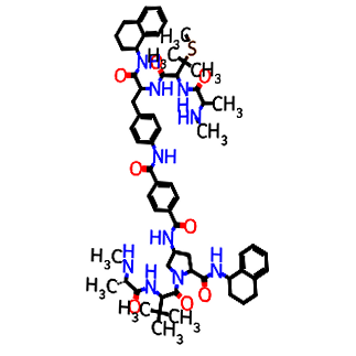 CNC(C)C(=O)NC(C(=O)NC(Cc1ccc(NC(=O)c2ccc(C(=O)NC3CC(C(=O)NC4CCCc5ccccc54)N(C(=O)C(NC(=O)[C@H](C)NC)C(C)(C)C)C3)cc2)cc1)C(=O)NC1CCCc2ccccc21)C(C)(C)SC